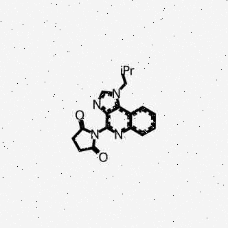 CC(C)Cn1cnc2c(N3C(=O)CCC3=O)nc3ccccc3c21